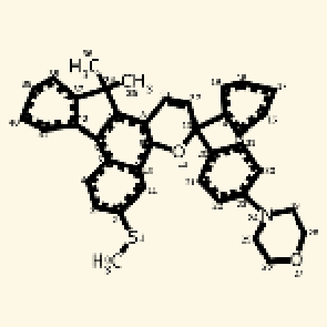 CSc1ccc2c3c(c4c(c2c1)OC(c1ccccc1)(c1ccc(N2CCOCC2)cc1)C=C4)C(C)(C)c1ccccc1-3